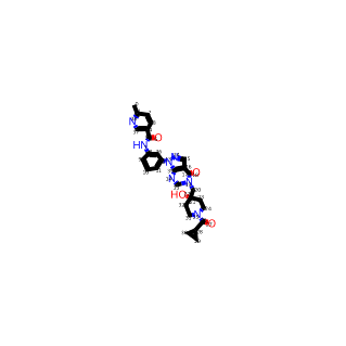 Cc1ccc(C(=O)Nc2cccc(-n3ncc4c(=O)n(CC5(O)CCN(C(=O)C6CC6)CC5)cnc43)c2)cn1